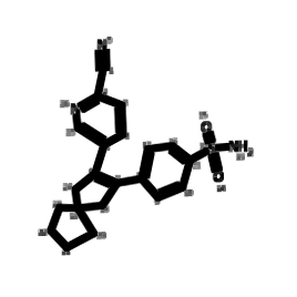 N#Cc1ccc(C2=C(c3ccc(S(N)(=O)=O)cc3)CC3(CCCC3)C2)cn1